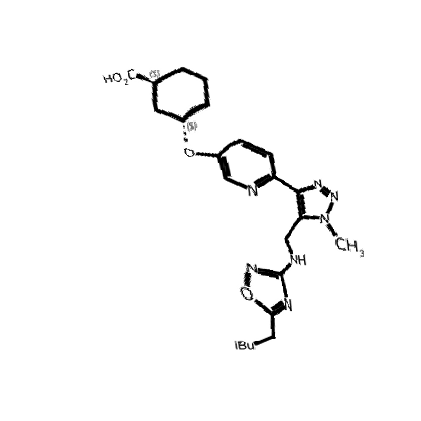 CCC(C)Cc1nc(NCc2c(-c3ccc(O[C@H]4CCC[C@H](C(=O)O)C4)cn3)nnn2C)no1